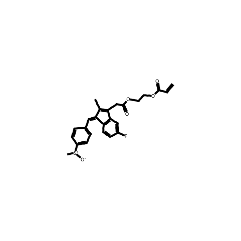 C=CC(=O)OCCOC(=O)CC1=C(C)/C(=C/c2ccc([S+](C)[O-])cc2)c2ccc(F)cc21